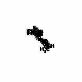 C=CC(=O)N[C@@H]1CCN(S(=O)(=O)N2CCC3(CC2)CN(C[C@@H]2CCN(c4ncnnc4Oc4ccc(F)cc4C(=O)N(C(C)C)C(C)C)C2)C3)C1